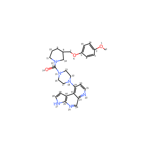 COc1ccc(OCC2CCCN(C(=O)N3CCN(c4ccnc5cnc6[nH]ccc6c45)CC3)C2)cc1